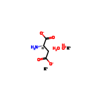 N[C@@H](CC(=O)[O-])C(=O)[O-].O.O.[K+].[K+]